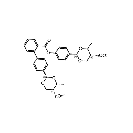 CCCCCCCC[C@@H]1CO[C@@H](c2ccc(OC(=O)c3ccccc3-c3ccc([C@@H]4OC[C@@H](CCCCCCCC)C(C)O4)cc3)cc2)OC1C